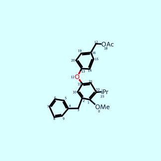 COc1c(Cc2ccccc2)cc(Oc2ccc(COC(C)=O)cc2)cc1C(C)C